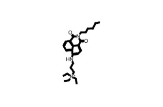 CCCCCCN1C(=O)c2cccc3c(NCCC[N+](CC)(CC)CC)ccc(c23)C1=O